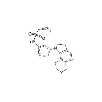 C=CS(=O)(=O)Nc1cc(N2CCc3ccc4c(c32)CCCC4)ccn1